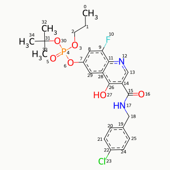 CCCOP(=O)(Oc1cc(F)c2ncc(C(=O)NCc3ccc(Cl)cc3)c(O)c2c1)OC(C)(C)C